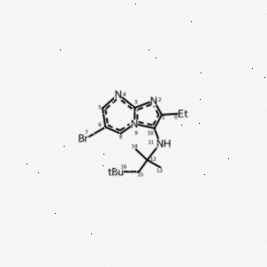 CCc1nc2ncc(Br)cn2c1NC(C)(C)CC(C)(C)C